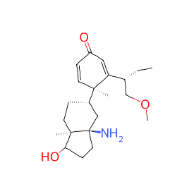 CC[C@H](COC)C1=CC(=O)C=C[C@]1(C)[C@H]1CC[C@]2(C)C(O)CC[C@@]2(N)C1